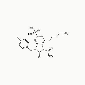 CCCS(=N)(=O)c1nc(CCCCN)c2c(n1)n(Cc1ccc(C)cc1)c(=O)n2C(=O)NC